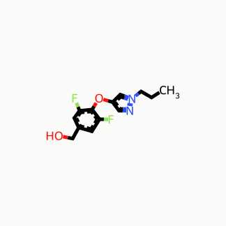 CCCn1cc(Oc2c(F)cc(CO)cc2F)cn1